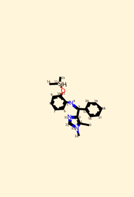 Cc1c(C(=Nc2ccccc2O[SiH](C)C)c2ccccc2)ncn1C